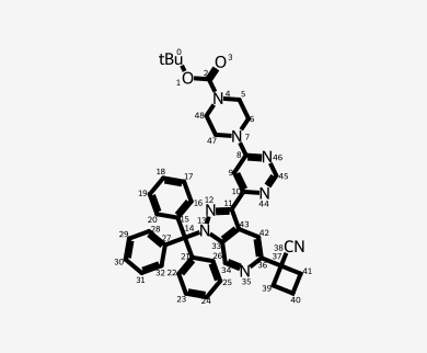 CC(C)(C)OC(=O)N1CCN(c2cc(-c3nn(C(c4ccccc4)(c4ccccc4)c4ccccc4)c4cnc(C5(C#N)CCC5)cc34)ncn2)CC1